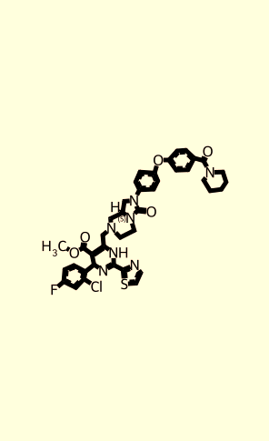 COC(=O)C1=C(CN2CCN3C(=O)N(c4ccc(Oc5ccc(C(=O)N6CCCCC6)cc5)cc4)C[C@@H]3C2)NC(c2nccs2)=NC1c1ccc(F)cc1Cl